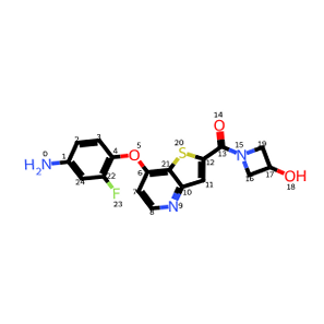 Nc1ccc(Oc2ccnc3cc(C(=O)N4CC(O)C4)sc23)c(F)c1